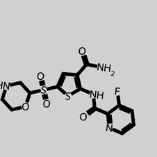 NC(=O)c1cc(S(=O)(=O)C2CNCCO2)sc1NC(=O)c1ncccc1F